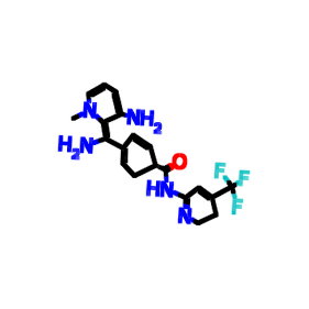 CN1C=CC=C(N)/C1=C(/N)C1=CC[C@H](C(=O)NC2=NCCC(C(F)(F)F)=C2)C=C1